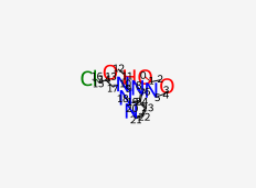 O[C@H]1COCCN1c1nc(N2CCOC(CCl)C2)nc2ncccc12